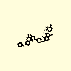 NC(=O)c1ccc(N2CCN(Cc3ccc4c(c3F)C(=O)N(C3CCC(=O)NC3=O)C4=O)CC2)nc1-c1ccc(Oc2ccccc2)cc1